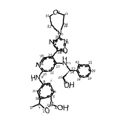 CC1OB(O)c2ccc(Nc3cc(N[C@H](CO)c4ccccc4)c(-c4nc(N5CCOCC5)no4)cn3)cc21